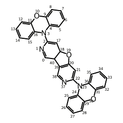 C1=NC(N2c3ccccc3Oc3ccccc32)=CC2Oc3cc(N4c5ccccc5Oc5ccccc54)ncc3C12